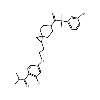 CN(C)C(=O)c1ccc(OCCC2CC23CCN(C(=O)C(C)(C)c2cccc(Br)n2)CC3)cc1Cl